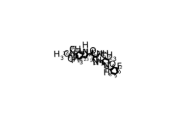 CC1=CC(Oc2c(F)cccc2F)NC=C1n1ncc(C(=O)c2cc3cc(F)c(N(C)C(C)C)cc3[nH]2)c1N